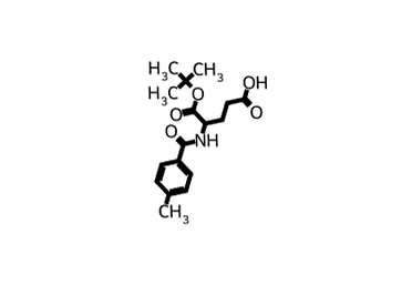 Cc1ccc(C(=O)NC(CCC(=O)O)C(=O)OC(C)(C)C)cc1